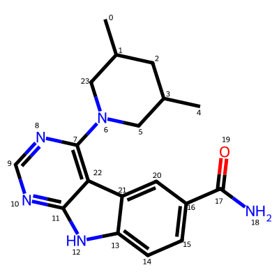 CC1CC(C)CN(c2ncnc3[nH]c4ccc(C(N)=O)cc4c23)C1